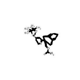 CC1(C)OB(c2ccnc(C3(COC(N)=O)Cc4ccccc4C3)c2)OC1(C)C